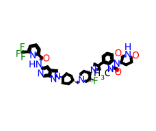 Cn1c(=O)n(C2CCC(=O)NC2=O)c2cccc(C3CN([C@H]4CCN(C[C@H]5CC[C@H](n6cc7cc(NC(=O)c8cccc(C(F)(F)F)n8)ncc7n6)CC5)C[C@@H]4F)C3)c21